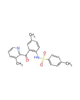 Cc1ccc(S(=O)(=O)Nc2ccc(C)cc2C(=O)c2ncccc2C)cc1